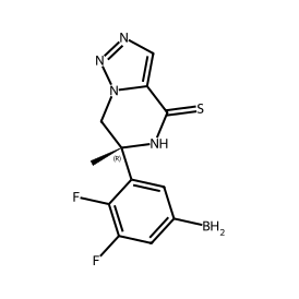 Bc1cc(F)c(F)c([C@]2(C)Cn3nncc3C(=S)N2)c1